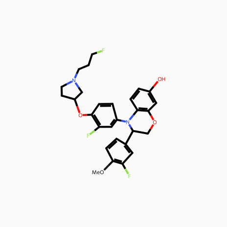 COc1ccc(C2COc3cc(O)ccc3N2c2ccc(OC3CCN(CCCF)C3)c(F)c2)cc1F